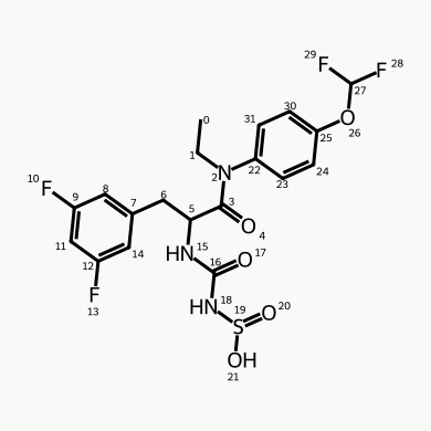 CCN(C(=O)C(Cc1cc(F)cc(F)c1)NC(=O)NS(=O)O)c1ccc(OC(F)F)cc1